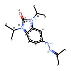 CC(C)=NNc1ccc2c(c1)n(C(C)C)c(=O)n2C(C)C